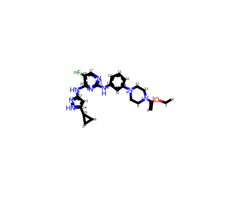 C=C(OCC)N1CCN(c2cccc(Nc3ncc(F)c(Nc4cc(C5CC5)[nH]n4)n3)c2)CC1